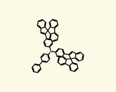 C1=C(c2ccc(N(c3ccc(C4=Cc5ccccc5C45c4ccccc4-c4ccccc45)cc3)c3ccc(-c4ccccc4)cc3)cc2)C2(c3ccccc31)c1ccccc1-c1ccccc12